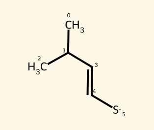 CC(C)/C=C/[S]